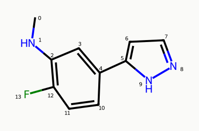 CNc1cc(-c2ccn[nH]2)ccc1F